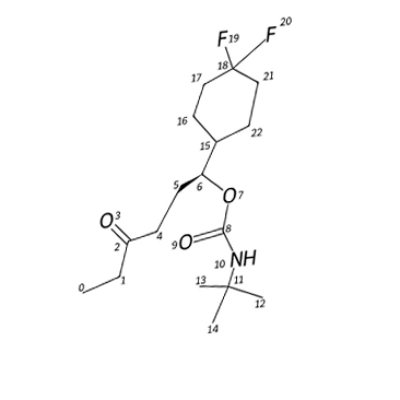 CCC(=O)CC[C@H](OC(=O)NC(C)(C)C)C1CCC(F)(F)CC1